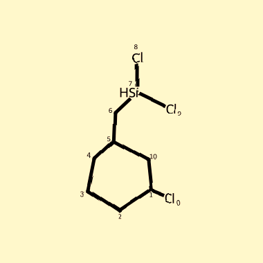 ClC1CCCC(C[SiH](Cl)Cl)C1